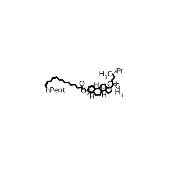 CCCCC/C=C\C/C=C\CCCCCCCC(=O)O[C@H]1CC[C@@]2(C)[C@@H](CC[C@@H]3[C@@H]2CC[C@]2(C)[C@@H]([C@H](C)CC[C@H](C)C(C)C)CC[C@@H]32)C1